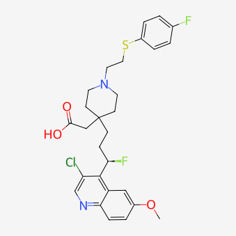 COc1ccc2ncc(Cl)c([C@H](F)CCC3(CC(=O)O)CCN(CCSc4ccc(F)cc4)CC3)c2c1